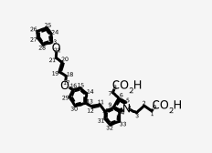 O=C(O)CCCn1cc(CC(=O)O)c2c(/C=C/c3ccc(OC/C=C/COc4ccccc4)cc3)cccc21